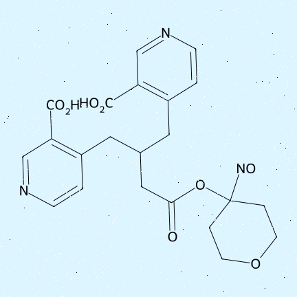 O=NC1(OC(=O)CC(Cc2ccncc2C(=O)O)Cc2ccncc2C(=O)O)CCOCC1